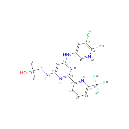 CC(C)(O)CNc1cc(Nc2cnc(F)c(Cl)c2)nc(-c2cccc(C(F)(F)F)n2)n1